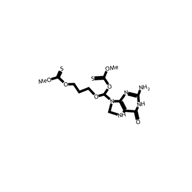 COC(=S)OCCCOC(OC(=S)OC)N1CNc2c1nc(N)[nH]c2=O